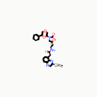 COc1cnc2cccc(CC(=O)NCC[C@H]3CN(C4=COC=C(C5=CC=CCC5)O4)C(=O)O3)c2n1